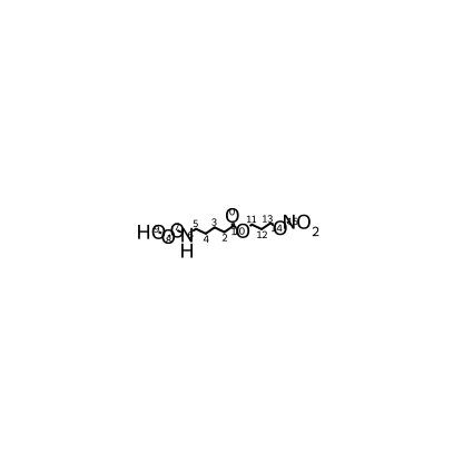 O=C(CCCCNOOO)OCCCO[N+](=O)[O-]